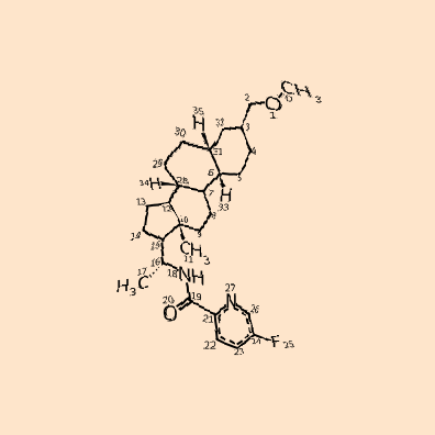 COC[C@H]1CC[C@@H]2C3CC[C@@]4(C)C(CCC4[C@@H](C)NC(=O)c4ccc(F)cn4)[C@@H]3CC[C@@H]2C1